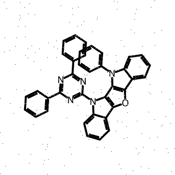 c1ccc(-c2nc(-c3ccccc3)nc(-n3c4ccccc4c4oc5c6ccccc6n(-c6ccccc6)c5c43)n2)cc1